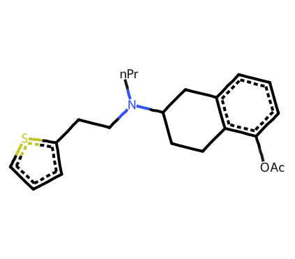 CCCN(CCc1cccs1)C1CCc2c(cccc2OC(C)=O)C1